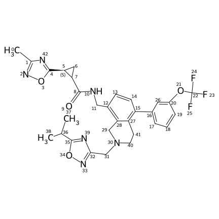 Cc1noc([C@H]2CC2C(=O)NCc2ccc(-c3cccc(OC(F)(F)F)c3)c3c2CN(Cc2noc(C(C)C)n2)CC3)n1